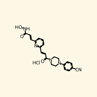 Cl.N#Cc1ccc(N2CCN(C(=O)C=Cc3cccc(C=CC(=O)NO)n3)CC2)cc1